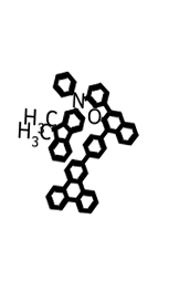 CC1(C)c2ccccc2-c2ccc(N(c3ccccc3)c3cccc4c3oc3c(-c5ccc(-c6ccc7c8ccccc8c8ccccc8c7c6)cc5)c5ccccc5cc34)cc21